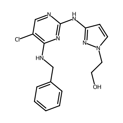 OCCn1ccc(Nc2ncc(Cl)c(NCc3ccccc3)n2)n1